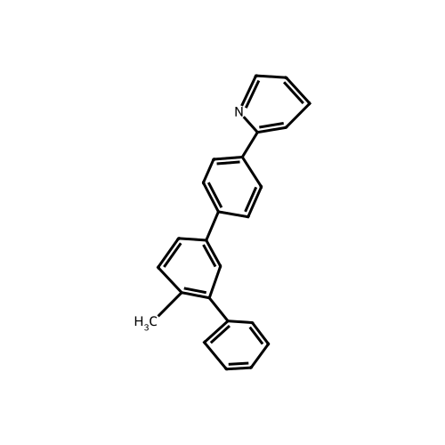 Cc1ccc(-c2ccc(-c3ccccn3)cc2)cc1-c1ccccc1